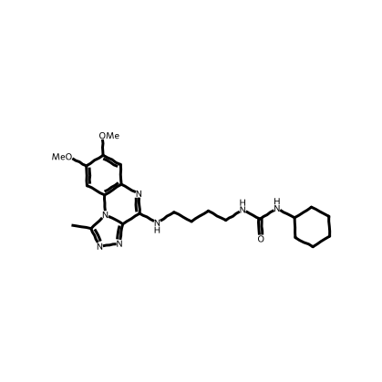 COc1cc2nc(NCCCCNC(=O)NC3CCCCC3)c3nnc(C)n3c2cc1OC